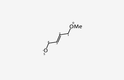 COCC=CC[O]